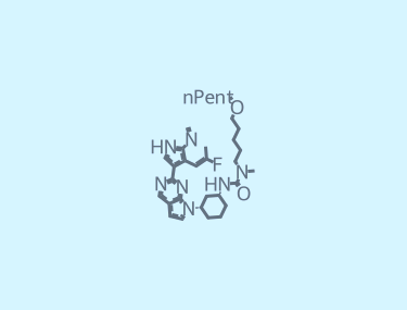 C=Nc1[nH]cc(-c2ncc3ccn([C@H]4CCC[C@@H](NC(=O)N(C)CCCCCOCCCCC)C4)c3n2)c1/C=C(\C)F